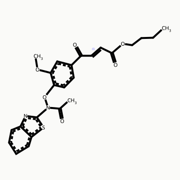 CCCCOC(=O)/C=C/C(=O)c1ccc(ON(C(C)=O)c2nc3ccccc3s2)c(OC)c1